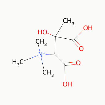 CC(O)(C(=O)O)C(C(=O)O)[N+](C)(C)C